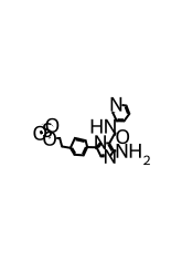 CS(=O)(=O)OCCc1ccc(-c2cnc(N)c(C(=O)Nc3cccnc3)n2)cc1